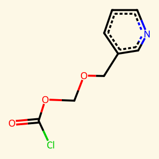 O=C(Cl)OCOCc1cccnc1